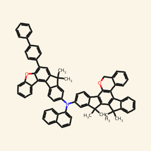 CC1(C)c2cc(N(c3ccc4c(c3)C(C)(C)c3c-4c4c(c5c3C(C)(C)c3ccccc3-5)-c3ccccc3CO4)c3cccc4ccccc34)ccc2-c2c1cc(-c1ccc(-c3ccccc3)cc1)c1oc3ccccc3c21